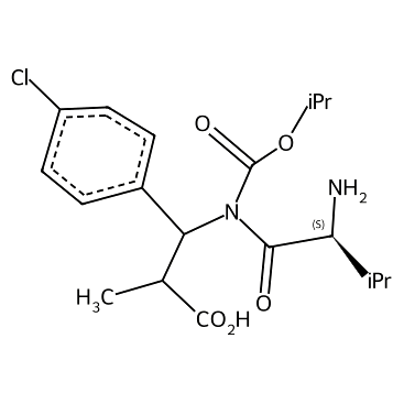 CC(C)OC(=O)N(C(=O)[C@@H](N)C(C)C)C(c1ccc(Cl)cc1)C(C)C(=O)O